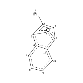 CC(C)c1cc2oc1c1ccccc21